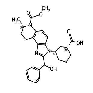 COC(=O)N1c2ccc3c(nc(C(O)c4ccccc4)n3[C@@H]3CCC[C@@H](C(=O)O)C3)c2CC[C@@H]1C